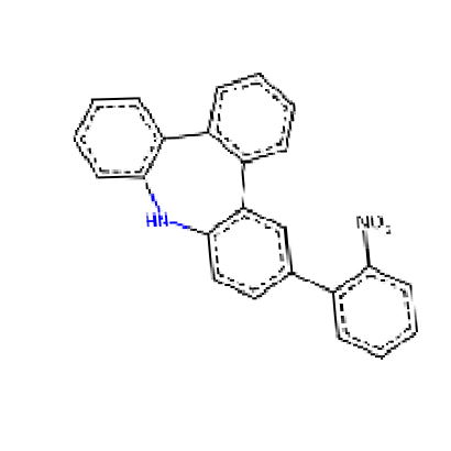 O=[N+]([O-])c1ccccc1-c1ccc2c(c1)-c1ccccc1-c1ccccc1N2